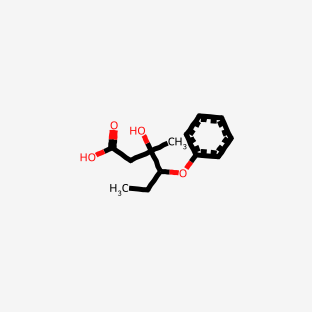 CCC(Oc1ccccc1)C(C)(O)CC(=O)O